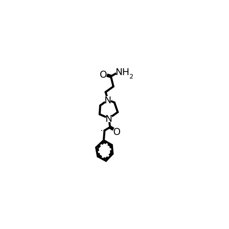 NC(=O)CCN1CCN(C(=O)[CH]c2ccccc2)CC1